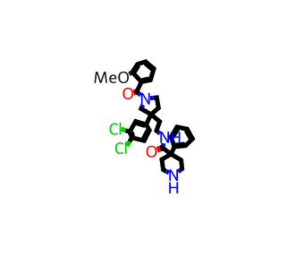 COc1ccccc1C(=O)N1CCC(CCNC(=O)C2(c3ccccc3)CCNCC2)(c2ccc(Cl)c(Cl)c2)C1